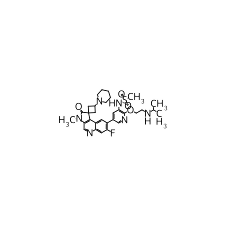 CC(C)NCCOc1ncc(-c2cc3c4c(cnc3cc2F)N(C)C(=O)C42CC(N3CCCCC3)C2)cc1NS(C)(=O)=O